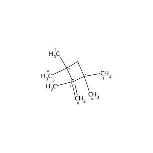 C=P1(C)C(C)(C)CC1(C)C